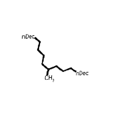 [CH2]CCCCCCCCCCCCCC(C)CCCCCCCCCCCC[CH2]